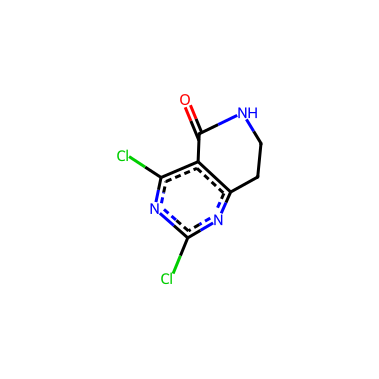 O=C1NCCc2nc(Cl)nc(Cl)c21